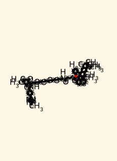 CC[N+]1=c2cc3c(cc2C(C)CC1(C)C)=C(c1ccccc1C(=O)N(C)CCCC(=O)NCCOCCOCCOCCOCCC(NCc1ccc(-c2nnc(C)nn2)cc1)=C1C(=O)CC(C)(C)CC1=O)c1cc2c4c(c1C3(C)C)CCCN4CCC2